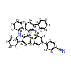 N#Cc1ccc(-c2cccc(-n3c4ccccc4c4cccc(-c5cccc6c7c(n(-c8ccccc8)c56)C=CCC7)c43)c2)cc1